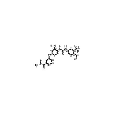 CNC(=O)c1cc(Oc2ccc(NC(=S)Nc3ccc(CI)c(C(F)(F)F)c3)c(N)c2)ccn1